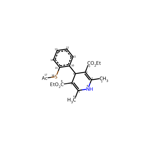 CCOC(=O)C1=C(C)NC(C)=C(C(=O)OCC)C1c1ccccc1SC(C)=O